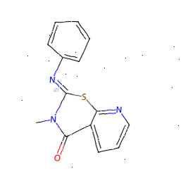 Cn1c(=O)c2cccnc2s/c1=N\c1ccccc1